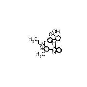 CCCc1nc2c(C)cc(-c3nc4ccccc4[nH]3)cc2n1Cc1ccc(-c2ccccc2C(=O)O)cc1